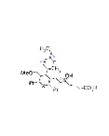 C=C(/C=C\C(F)=C/C)C1C(/C=C/[C@@H](O)CCCC(=O)O)=C(C(C)C)N=C(C(C)C)C1COC